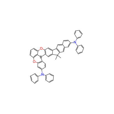 CC1(C)c2cc3c(cc2-c2cc4ccc(N(c5ccccc5)c5ccccc5)cc4cc21)Oc1cccc2c1B3c1ccc(N(c3ccccc3)c3ccccc3)cc1O2